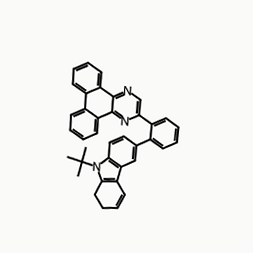 CC(C)(C)n1c2c(c3cc(-c4ccccc4-c4cnc5c6ccccc6c6ccccc6c5n4)ccc31)C=CCC2